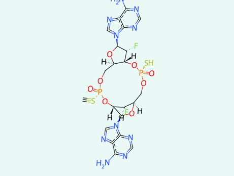 C#S[P@]1(=O)OC[C@H]2O[C@@H](n3cnc4c(N)ncnc43)[C@H](F)[C@@H]2O[P@@](=O)(S)OC[C@H]2O[C@@H](n3cnc4c(N)ncnc43)[C@H](O1)[C@@H]2F